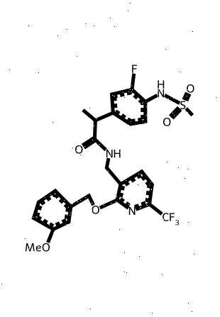 COc1cccc(COc2nc(C(F)(F)F)ccc2CNC(=O)C(C)c2ccc(NS(C)(=O)=O)c(F)c2)c1